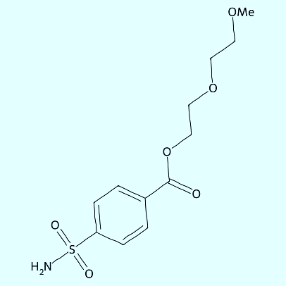 COCCOCCOC(=O)c1ccc(S(N)(=O)=O)cc1